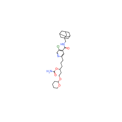 NC(=O)OC(CCCc1cc(C(=O)NCC23CC4CC(CC(C4)C2)C3)c(Cl)cn1)CCOC1CCCCO1